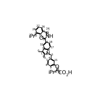 Cc1c(C)n(Cc2cccc(O[C@H](C(=O)O)C(C)C)c2)c2ccc(C(=O)N[C@@H](C)c3cccc(C(C)C)c3)cc12